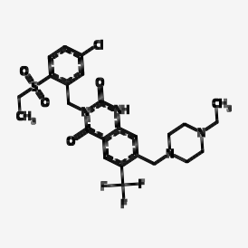 CCN1CCN(Cc2cc3[nH]c(=O)n(Cc4cc(Cl)ccc4S(=O)(=O)CC)c(=O)c3cc2C(F)(F)F)CC1